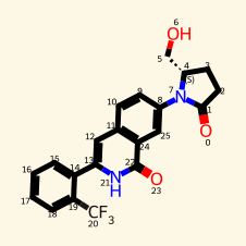 O=C1CC[C@@H](CO)N1c1ccc2cc(-c3ccccc3C(F)(F)F)[nH]c(=O)c2c1